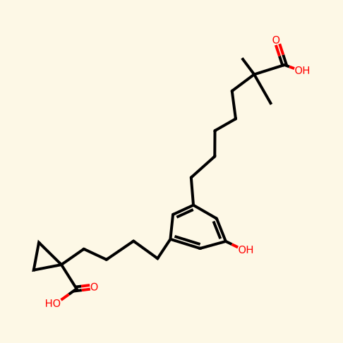 CC(C)(CCCCCc1cc(O)cc(CCCCC2(C(=O)O)CC2)c1)C(=O)O